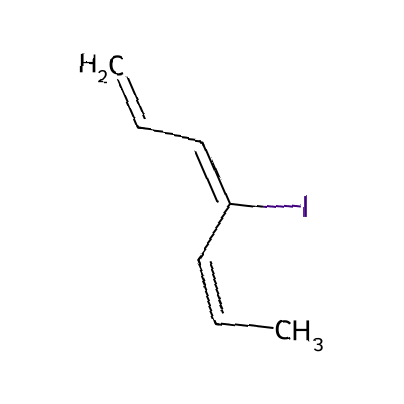 C=C/C=C(I)\C=C/C